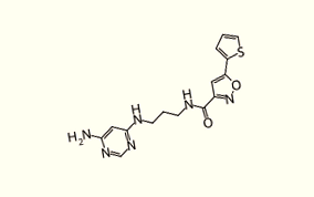 Nc1cc(NCCCNC(=O)c2cc(-c3cccs3)on2)ncn1